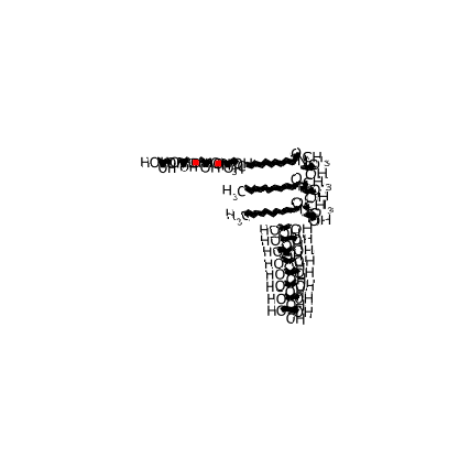 CCCCCCCCCCCC(=O)N(C)CC(=O)O.CCCCCCCCCCCC(=O)N(C)CC(=O)O.CCCCCCCCCCCC(=O)N(C)CC(=O)O.OCC(O)CO.OCC(O)CO.OCC(O)CO.OCC(O)CO.OCC(O)CO.OCC(O)CO.OCC(O)CO.OCC(O)CO.OCC(O)CO.OCC(O)CO.OCC(O)CO.OCC(O)CO